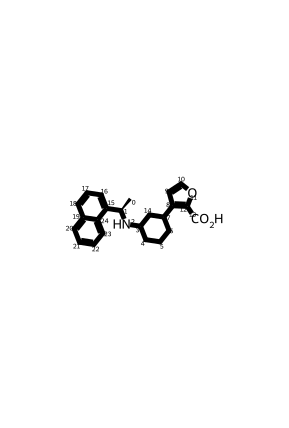 C[C@@H](NC1CCCC(c2ccoc2C(=O)O)C1)c1cccc2ccccc12